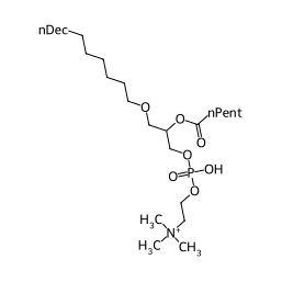 CCCCCCCCCCCCCCCCOCC(COP(=O)(O)OCC[N+](C)(C)C)OC(=O)CCCCC